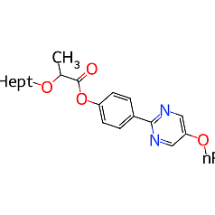 CCCCCCCOC(C)C(=O)Oc1ccc(-c2ncc(OCCC)cn2)cc1